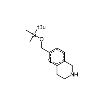 CC(C)(C)[Si](C)(C)OCc1ccc2c(n1)CCNC2